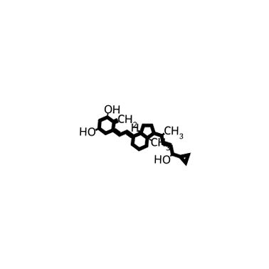 C=C1/C(=C\C=C2/CCC[C@]3(C)C([C@@H](C)/C=C/[C@@H](O)C4CC4)CC[C@@H]23)C[C@@H](O)C[C@@H]1O